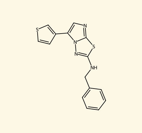 c1ccc(CNc2nn3c(-c4ccsc4)cnc3s2)cc1